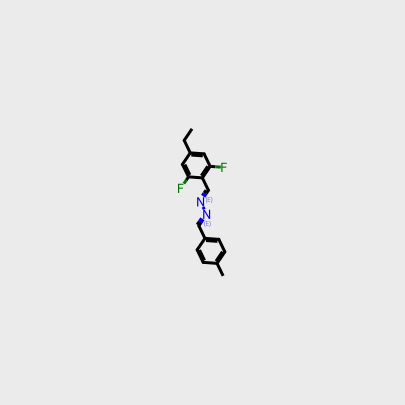 CCc1cc(F)c(/C=N/N=C/c2ccc(C)cc2)c(F)c1